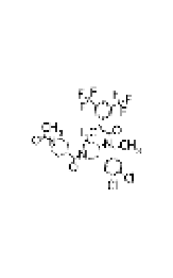 CCN(C(=O)N(C)c1cc(C(F)(F)F)cc(C(F)(F)F)c1)[C@@H]1CCN(C(=O)C2CCN(C(C)=O)CC2)C[C@H]1c1ccc(Cl)c(Cl)c1